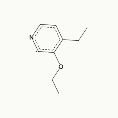 CCOc1[c]nccc1CC